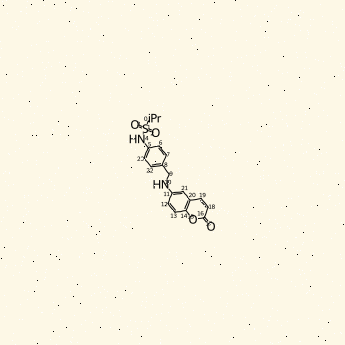 CC(C)S(=O)(=O)Nc1ccc(CNc2ccc3oc(=O)ccc3c2)cc1